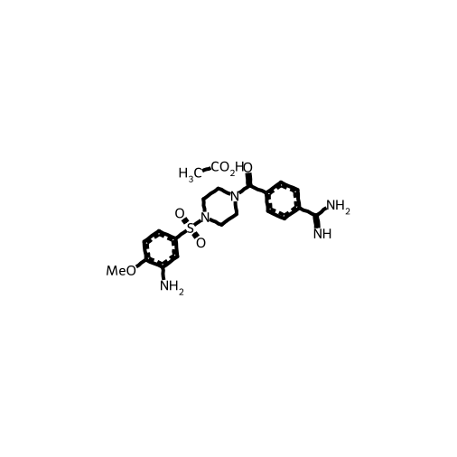 CC(=O)O.COc1ccc(S(=O)(=O)N2CCN(C(=O)c3ccc(C(=N)N)cc3)CC2)cc1N